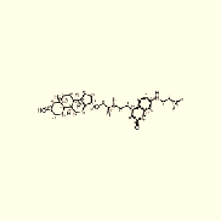 CN(C)CCNc1ccc2c(CCNC(=O)CO[C@H]3CC[C@H]4[C@@H]5CC[C@H]6C[C@H](O)CC[C@]6(C)[C@H]5CC[C@]34C)cc(=O)oc2c1